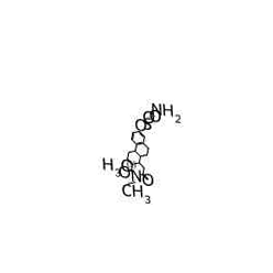 CCCN1C(=O)CC2C3CCc4cc(OSOON)ccc4C3CC[C@]2(C)C1=O